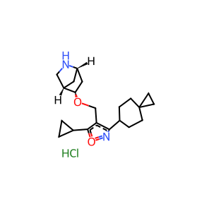 C(O[C@@H]1C[C@@H]2C[C@H]1CN2)c1c(C2CCC3(CC2)CC3)noc1C1CC1.Cl